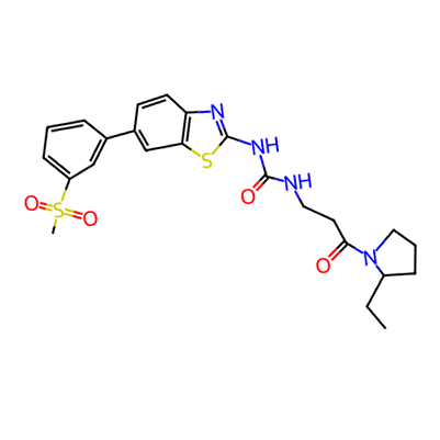 CCC1CCCN1C(=O)CCNC(=O)Nc1nc2ccc(-c3cccc(S(C)(=O)=O)c3)cc2s1